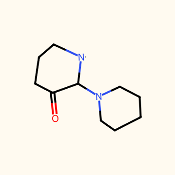 O=C1CCC[N]C1N1CCCCC1